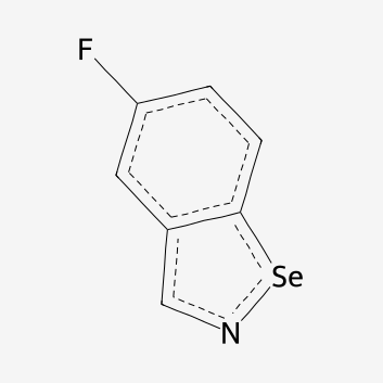 Fc1ccc2[se]ncc2c1